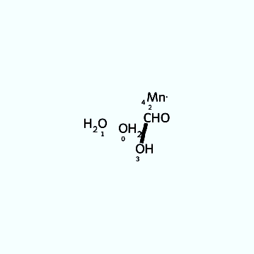 O.O.O=CO.[Mn]